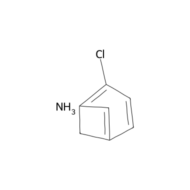 Clc1ccc2cc1C2.N